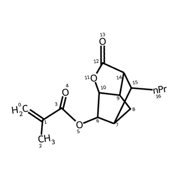 C=C(C)C(=O)OC1C2CC3C1OC(=O)C3C2CCC